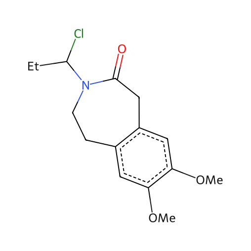 CCC(Cl)N1CCc2cc(OC)c(OC)cc2CC1=O